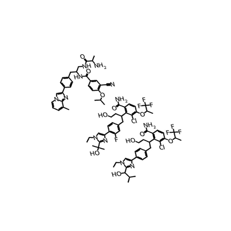 CCn1cc(-c2ccc(CC(CCO)c3c(C(N)=O)ccc(OC(C)C(F)(F)F)c3Cl)cc2)nc1C(O)C(C)C.CCn1cc(-c2ccc(CC(CCO)c3c(C(N)=O)ccc(OC(C)C(F)(F)F)c3Cl)cc2F)nc1C(C)(C)O.Cc1cccn2cc(-c3ccc(CC(CNC(=O)C(C)N)NC(=O)c4ccc(OC(C)C)c(C#N)c4)cc3)nc12